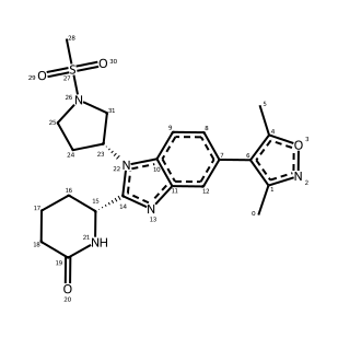 Cc1noc(C)c1-c1ccc2c(c1)nc([C@H]1CCCC(=O)N1)n2[C@@H]1CCN(S(C)(=O)=O)C1